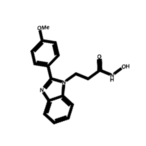 COc1ccc(-c2nc3ccccc3n2CCC(=O)NO)cc1